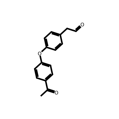 CC(=O)c1ccc(Oc2ccc(CC=O)cc2)cc1